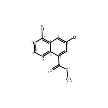 COC(=O)c1cc(Cl)cc2c(Cl)ncnc12